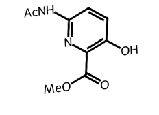 COC(=O)c1nc(NC(C)=O)ccc1O